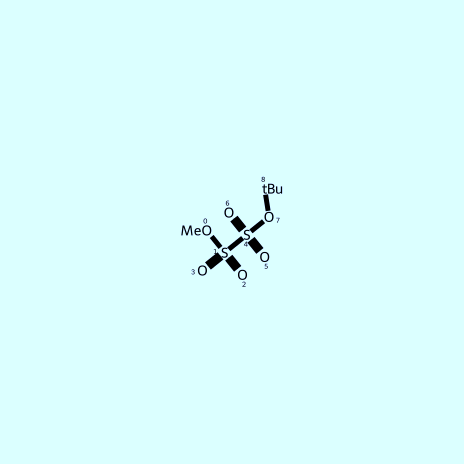 COS(=O)(=O)S(=O)(=O)OC(C)(C)C